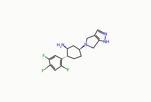 N[C@H]1C[C@@H](N2Cc3cn[nH]c3C2)CC[C@@H]1c1cc(F)c(F)cc1F